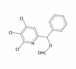 O=COC(c1ccccc1)c1cc(Cl)c(Cl)c(Cl)n1